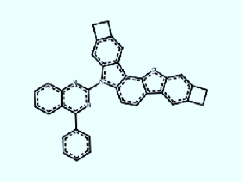 c1ccc(-c2nc(-n3c4cc5c(cc4c4c6oc7cc8c(cc7c6ccc43)CC8)CC5)nc3ccccc23)cc1